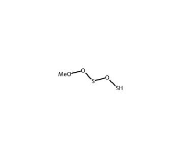 COOSOS